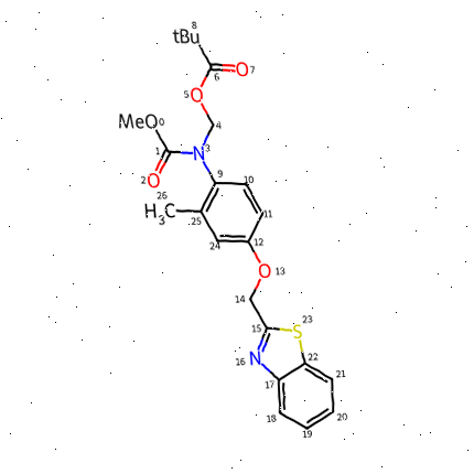 COC(=O)N(COC(=O)C(C)(C)C)c1ccc(OCc2nc3ccccc3s2)cc1C